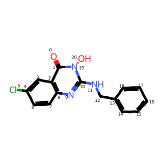 O=c1c2cc(Cl)ccc2nc(NCc2ccccc2)n1O